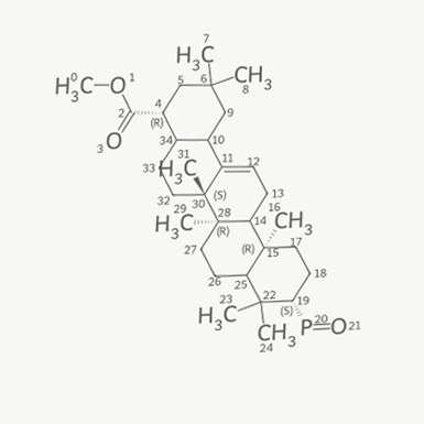 COC(=O)[C@@H]1CC(C)(C)CC2C3=CCC4[C@@]5(C)CC[C@H](P=O)C(C)(C)C5CC[C@@]4(C)[C@]3(C)CCC21